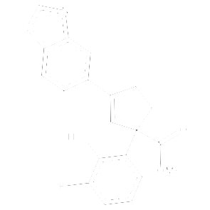 COC(=O)C1(c2cccc(F)c2C)C=C(c2ccc3scnc3c2)CC1